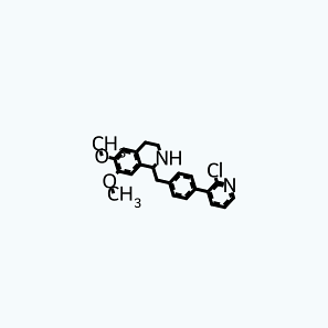 COc1cc2c(cc1OC)C(Cc1ccc(-c3cccnc3Cl)cc1)NCC2